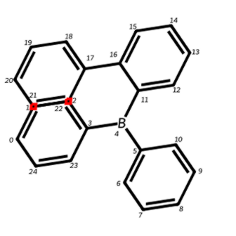 c1ccc(B(c2ccccc2)c2ccccc2-c2ccccc2)cc1